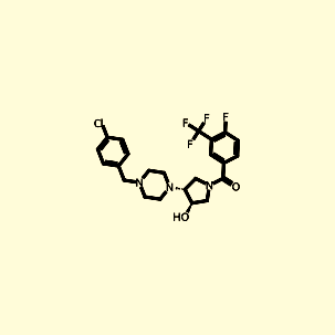 O=C(c1ccc(F)c(C(F)(F)F)c1)N1C[C@@H](O)[C@H](N2CCN(Cc3ccc(Cl)cc3)CC2)C1